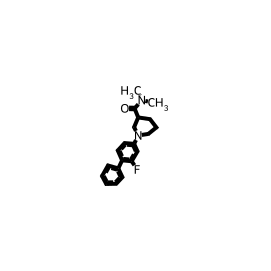 CN(C)C(=O)C1CCCN(c2ccc(-c3ccccc3)c(F)c2)C1